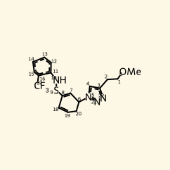 COCCc1cn(C2C=C(SNc3ccccc3C(F)(F)F)C=CC2)nn1